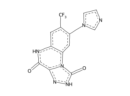 O=c1[nH]c2cc(C(F)(F)F)c(-n3ccnc3)cc2n2c(=O)[nH]nc12